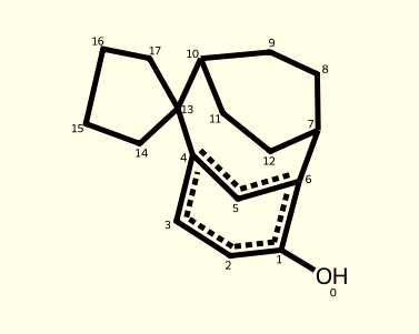 Oc1ccc2cc1C1CCC(CC1)C21CCCC1